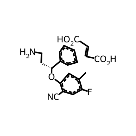 Cc1cc(O[C@H](CCN)c2ccccc2)c(C#N)cc1F.O=C(O)/C=C/C(=O)O